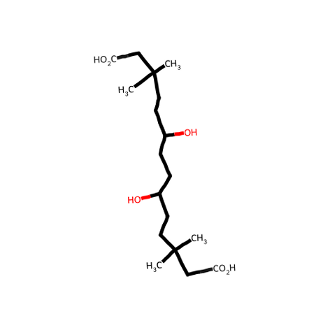 CC(C)(CCC(O)CCC(O)CCC(C)(C)CC(=O)O)CC(=O)O